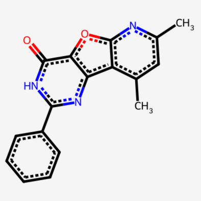 Cc1cc(C)c2c(n1)oc1c(=O)[nH]c(-c3ccccc3)nc12